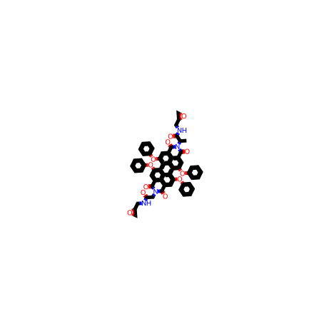 CC(C(=O)NCC1CO1)N1C(=O)c2cc(Oc3ccccc3)c3c4c(Oc5ccccc5)cc5c6c(cc(Oc7ccccc7)c(c7c(Oc8ccccc8)cc(c2c37)C1=O)c64)C(=O)N(CC(=O)NCC1CO1)C5=O